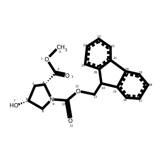 COC(=O)[C@H]1C[C@@H](O)CN1C(=O)OCC1c2ccccc2-c2ccccc21